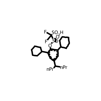 CCCC(CCC)c1cc(C2CCCCC2)c(OS(=O)(=O)C(F)(F)S(=O)(=O)O)c(C2CCCCC2)c1